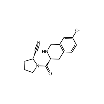 N#C[C@@H]1CCCN1C(=O)[C@@H]1Cc2ccc([O])cc2CN1